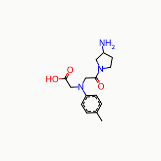 Cc1ccc(N(CC(=O)O)CC(=O)N2CCC(N)C2)cc1